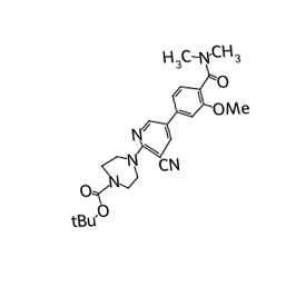 COc1cc(-c2cnc(N3CCN(C(=O)OC(C)(C)C)CC3)c(C#N)c2)ccc1C(=O)N(C)C